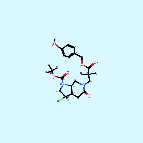 COc1ccc(COC(=O)C(C)(C)CN2CC3C(CC2=O)C(F)(F)CN3C(=O)OC(C)(C)C)cc1